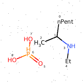 CCCCCC(C)NCC.O=[PH](O)O